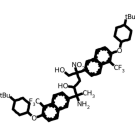 CC(C)(C)C1CCC(Oc2ccc3cc(C(C)(N)C(O)CC(CO)(c4ccc5c(C(F)(F)F)c(OC6CCC(C(C)(C)C)CC6)ccc5c4)[N+](=O)[O-])ccc3c2C(F)(F)F)CC1